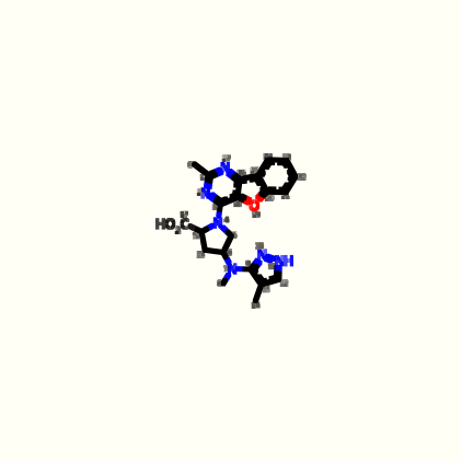 Cc1nc(N2CC(N(C)c3n[nH]cc3C)CC2C(=O)O)c2oc3ccccc3c2n1